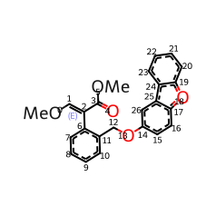 CO/C=C(/C(=O)OC)c1ccccc1COc1ccc2oc3ccccc3c2c1